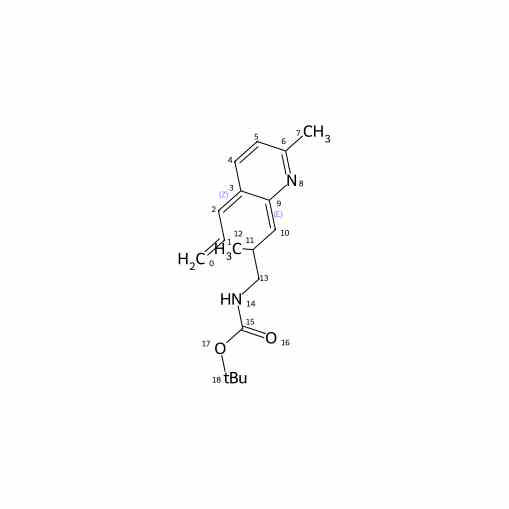 C=C/C=c1/ccc(C)n/c1=C/C(C)CNC(=O)OC(C)(C)C